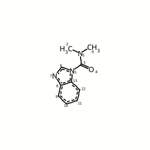 CN(C)C(=O)n1cnc2ccccc21